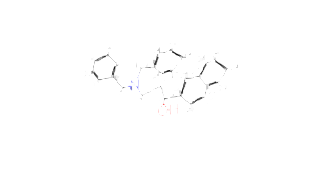 OC(CCN(Cc1ccccc1)Cc1ccccc1)c1ccc2ccccc2c1